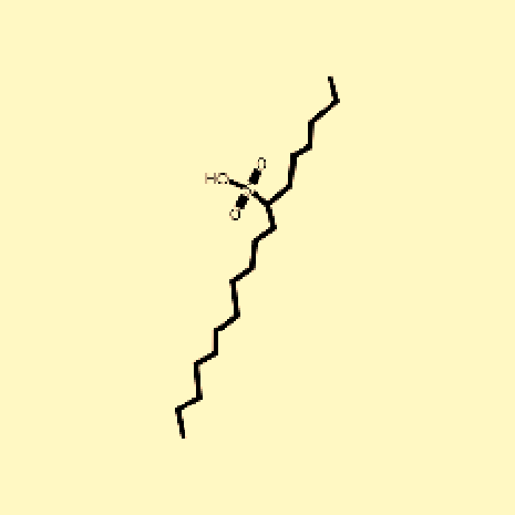 CCCCCCCCCCCC(CCCCCC)S(=O)(=O)O